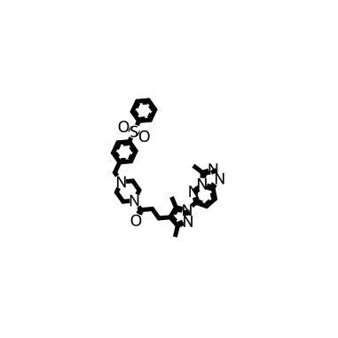 Cc1nn(-c2ccc3nnc(C)n3n2)c(C)c1CCC(=O)N1CCN(Cc2ccc(S(=O)(=O)c3ccccc3)cc2)CC1